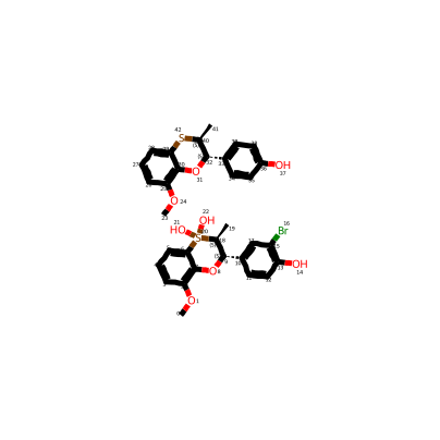 COc1cccc2c1O[C@@H](c1ccc(O)c(Br)c1)[C@H](C)S2(O)O.COc1cccc2c1O[C@@H](c1ccc(O)cc1)[C@H](C)S2